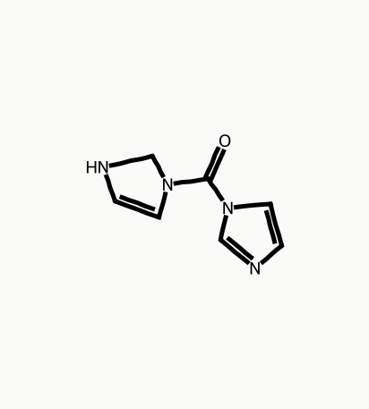 O=C(N1C=CNC1)n1ccnc1